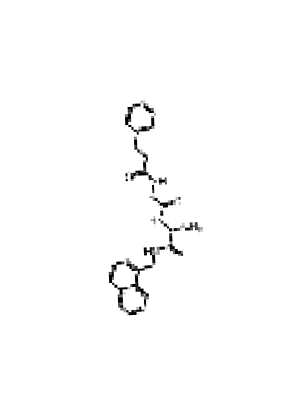 C[C@H](NC(=O)CNC(=O)CCc1ccccc1)C(=S)NCc1cccc2ccccc12